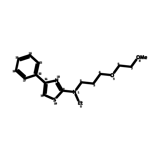 CCN(CCCOCCOC)c1nc(-c2ccccc2)cs1